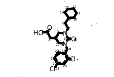 O=C(O)CC1CN(CCC2CCCCC2)C(=O)N(Cc2ccc(Cl)cc2Cl)C1